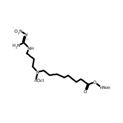 CCCCCCCCCOC(=O)CCCCCCCN(CCCCCCCC)CCCN/C(N)=N/[N+](=O)[O-]